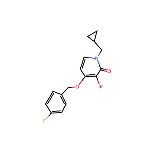 O=c1c(Br)c(OCc2ccc(F)cc2)ccn1CC1CC1